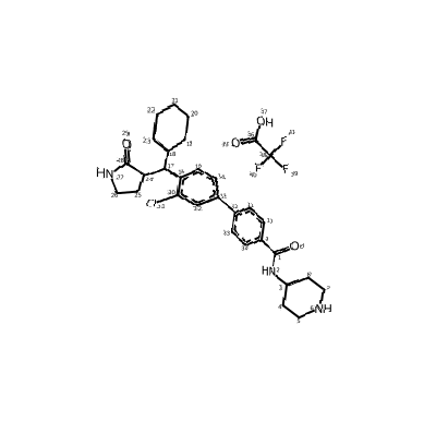 O=C(NC1CCNCC1)c1ccc(-c2ccc(C(C3CCCCC3)C3CCNC3=O)c(Cl)c2)cc1.O=C(O)C(F)(F)F